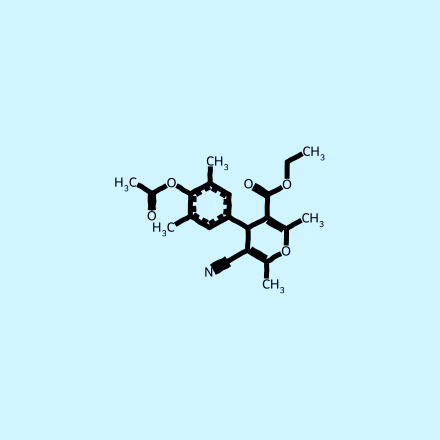 CCOC(=O)C1=C(C)OC(C)=C(C#N)C1c1cc(C)c(OC(C)=O)c(C)c1